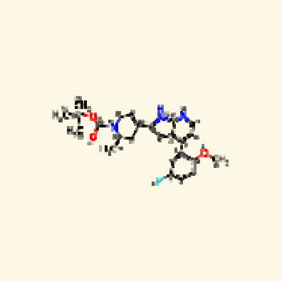 COc1ccc(F)cc1-c1ccnc2[nH]c(C3=CCN(C(=O)OC(C)(C)C)[C@H](C)C3)cc12